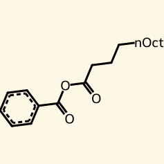 CCCCCCCCCCCC(=O)OC(=O)c1ccccc1